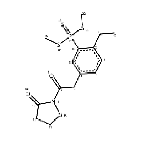 CCc1ccc(CC(=O)N2SCCC2=O)cc1P(=S)(SC)SC